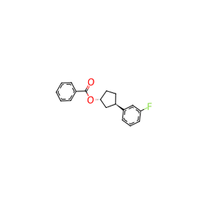 O=C(O[C@@H]1CC[C@@H](c2cccc(F)c2)C1)c1ccccc1